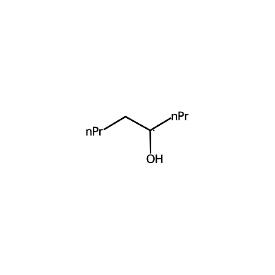 CCCC[C](O)CCC